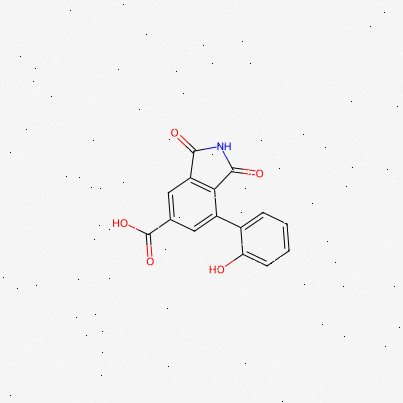 O=C(O)c1cc2c(c(-c3ccccc3O)c1)C(=O)NC2=O